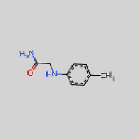 Cc1ccc(NCC(N)=O)cc1